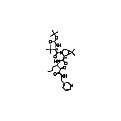 CCCC(NC(=O)[C@@H]1C2C(CN1C(=O)[C@@H](NC(=O)OC(C)(C)C)C(C)(C)C)C2(C)C)C(=O)C(=O)NCc1cccnc1